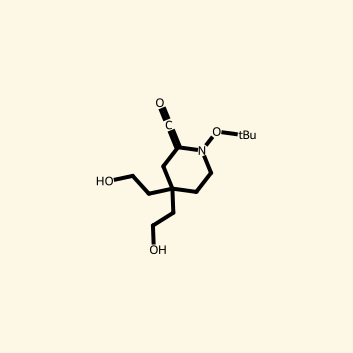 CC(C)(C)ON1CCC(CCO)(CCO)CC1=C=O